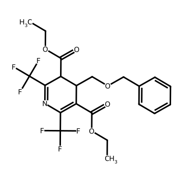 CCOC(=O)C1=C(C(F)(F)F)N=C(C(F)(F)F)C(C(=O)OCC)C1COCc1ccccc1